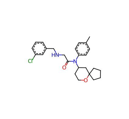 Cc1ccc(N(C(=O)CNCc2cccc(Cl)c2)C2CCOC3(CCCC3)C2)cc1